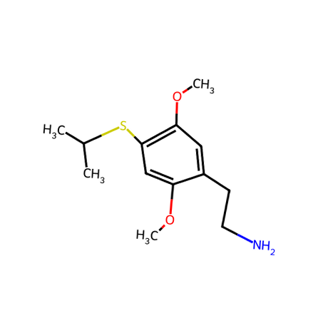 COc1cc(SC(C)C)c(OC)cc1CCN